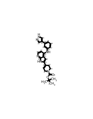 CC(C)(C)OC(=O)N1CC=C(c2cc3c(Nc4cccc(-c5cn[nH]c5)c4)ccnc3[nH]2)CC1